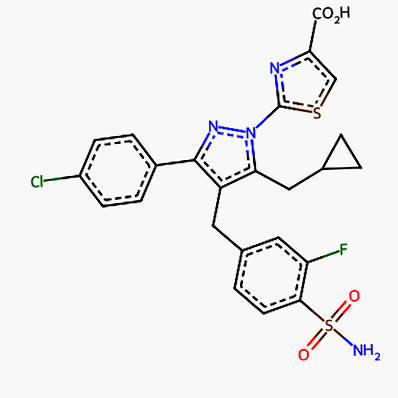 NS(=O)(=O)c1ccc(Cc2c(-c3ccc(Cl)cc3)nn(-c3nc(C(=O)O)cs3)c2CC2CC2)cc1F